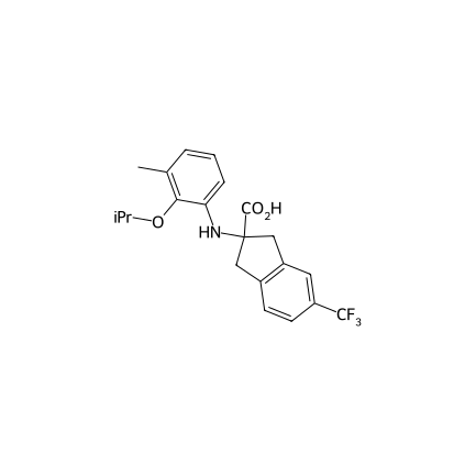 Cc1cccc(NC2(C(=O)O)Cc3ccc(C(F)(F)F)cc3C2)c1OC(C)C